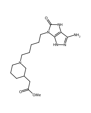 COC(=O)CC1CCCN(CCCCCn2c(=O)[nH]c3c(N)n[nH]c32)C1